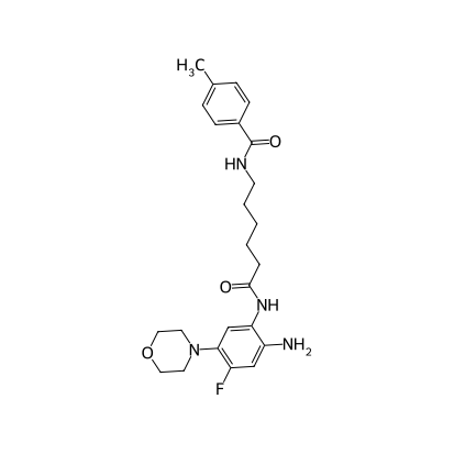 Cc1ccc(C(=O)NCCCCCC(=O)Nc2cc(N3CCOCC3)c(F)cc2N)cc1